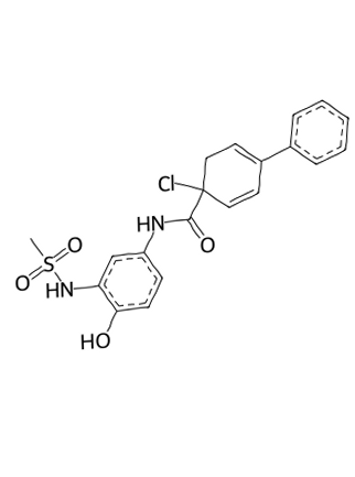 CS(=O)(=O)Nc1cc(NC(=O)C2(Cl)C=CC(c3ccccc3)=CC2)ccc1O